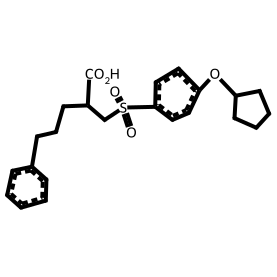 O=C(O)C(CCCc1ccccc1)CS(=O)(=O)c1ccc(OC2CCCC2)cc1